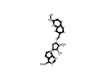 CNc1ncnc2c1ccn2[C@@H]1C[C@H](CCc2ccc3ccc(NC(C)C)nc3c2)[C@@H](O)[C@H]1O